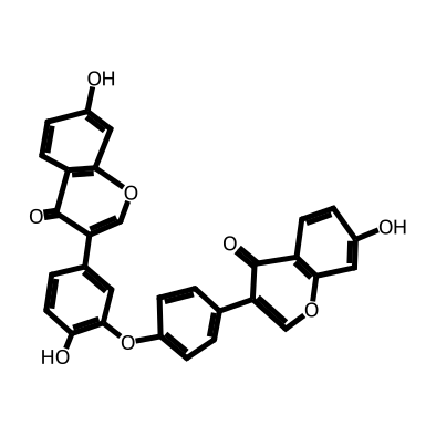 O=c1c(-c2ccc(Oc3cc(-c4coc5cc(O)ccc5c4=O)ccc3O)cc2)coc2cc(O)ccc12